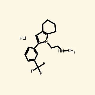 CNCCn1c(-c2cccc(C(F)(F)F)c2)cc2c1CCCC2.Cl